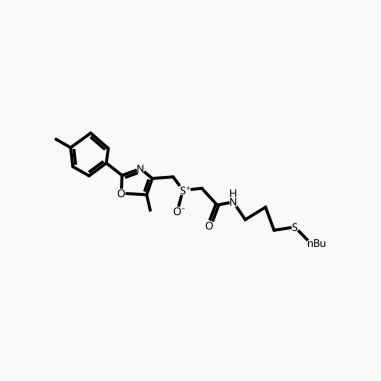 CCCCSCCCNC(=O)C[S+]([O-])Cc1nc(-c2ccc(C)cc2)oc1C